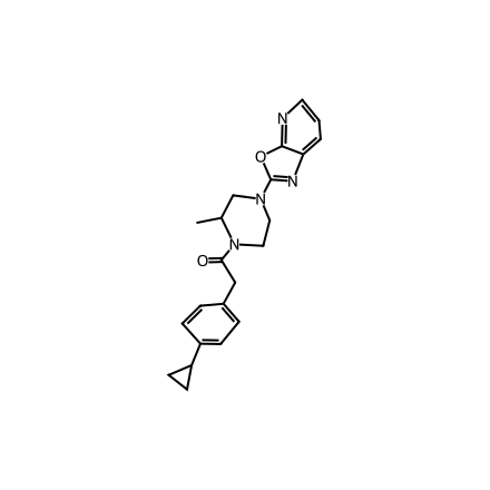 CC1CN(c2nc3cccnc3o2)CCN1C(=O)Cc1ccc(C2CC2)cc1